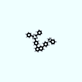 c1ccc(-c2nc(-c3ccccc3)nc(-c3ccc(-c4cccc5ccc(-c6ccc(-n7cnc8ccccc87)cc6)cc45)cc3)n2)cc1